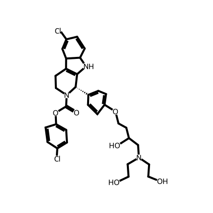 O=C(Oc1ccc(Cl)cc1)N1CCC2=C(NC3C=CC(Cl)=CC23)[C@@H]1c1ccc(OCCC(O)CN(CCO)CCO)cc1